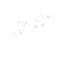 CC(C)(C[C@@H]1O[C@H](n2cnc3c(N)ncnc32)[C@H](OP(C)(=O)O)[C@@H]1O)OP(=O)(O)O